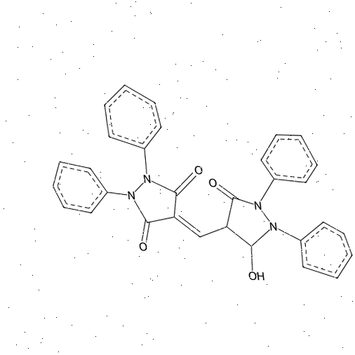 O=C1C(=CC2C(=O)N(c3ccccc3)N(c3ccccc3)C2O)C(=O)N(c2ccccc2)N1c1ccccc1